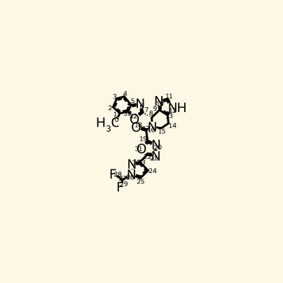 Cc1cccc2nc([C@@H]3c4nc[nH]c4CCN3C(=O)c3nnc(-c4ccn(C(F)F)n4)o3)oc12